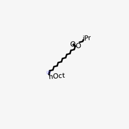 CCCCCCCC/C=C\CCCCCCCCCCCC(=O)OCCC(C)C